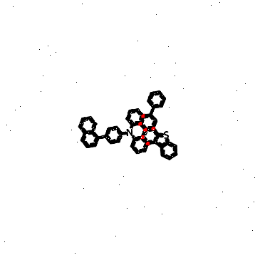 c1ccc(-c2ccc(-c3ccccc3N(c3ccc(-c4cccc5ccccc45)cc3)c3ccccc3-c3ccc4c(c3)sc3ccccc34)cc2)cc1